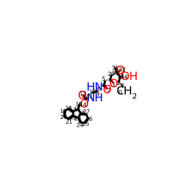 C=C[C@H]1O[C@H](CC(=O)NCCNC(=O)OCC2c3ccccc3-c3ccccc32)C[C@@]2(CO2)[C@@H]1O